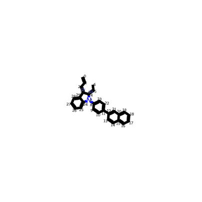 C=C/C=c1\c(=C/C)n(-c2ccc(-c3ccc4ccccc4c3)cc2)c2ccccc12